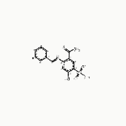 NC(=O)c1cc(S(N)(=O)=O)c(Cl)cc1N=Cc1ccccc1